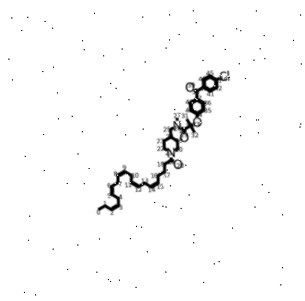 CC/C=C\C/C=C\C/C=C\C/C=C\C/C=C\CCCC(=O)N1CCC(CN(C)C(=O)C(C)(C)Oc2ccc(C(=O)c3ccc(Cl)cc3)cc2)CC1